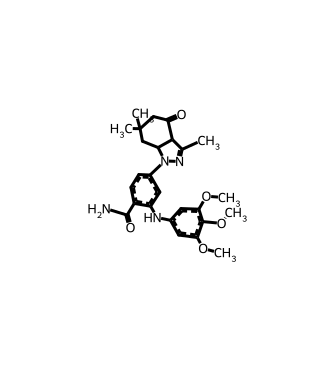 COc1cc(Nc2cc(N3N=C(C)C4C(=O)CC(C)(C)CC43)ccc2C(N)=O)cc(OC)c1OC